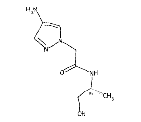 C[C@H](CO)NC(=O)Cn1cc(N)cn1